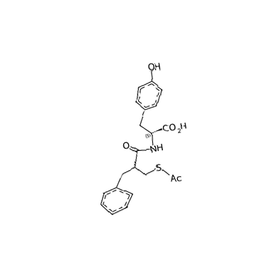 CC(=O)SCC(Cc1ccccc1)C(=O)N[C@@H](Cc1ccc(O)cc1)C(=O)O